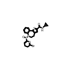 O=C(NC1CC1)c1cc2c(s1)-c1ccccc1N([S+]([O-])C1=CCCC(Br)=N1)CC2